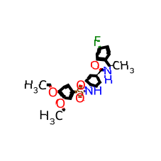 CCOc1ccc(S(=O)(=O)N[C@H]2CC[C@H](C(=O)N[C@H](C)c3ccc(F)cc3)CC2)cc1OCC